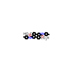 Cc1ccc(NC(=O)c2ccc3c4ccc(C(=O)O)c5c(C(=O)Nc6ccc(C)cc6)ccc(c6ccc(C(=O)O)c2c63)c54)cc1